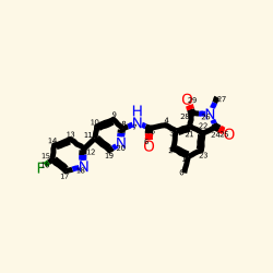 Cc1cc(CC(=O)Nc2ccc(-c3ccc(F)cn3)cn2)c2c(c1)C(=O)N(C)C2=O